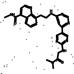 CNC(=O)c1ccnc2c(CCNc3cc(-c4cnc(NCC(=O)N(C)C)nc4)ncn3)cccc12